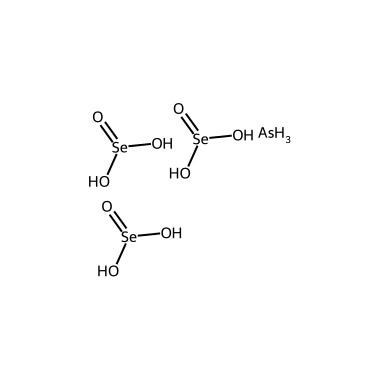 O=[Se](O)O.O=[Se](O)O.O=[Se](O)O.[AsH3]